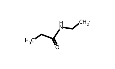 [CH2]CNC(=O)CC